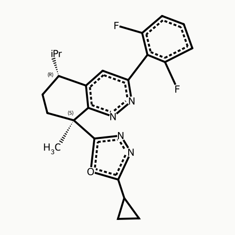 CC(C)[C@H]1CC[C@](C)(c2nnc(C3CC3)o2)c2nnc(-c3c(F)cccc3F)cc21